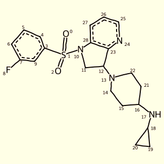 O=S(=O)(c1cccc(F)c1)N1CC(N2CCC(NC3CC3)CC2)c2ncccc21